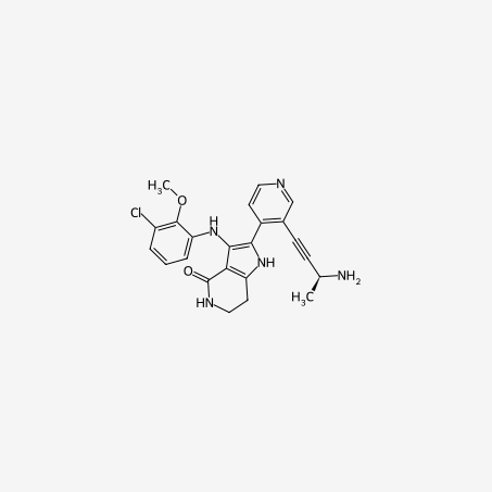 COc1c(Cl)cccc1Nc1c(-c2ccncc2C#C[C@H](C)N)[nH]c2c1C(=O)NCC2